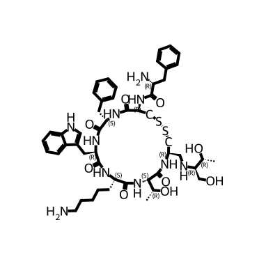 C[C@@H](O)[C@@H]1NC(=O)[C@H](CCCCCN)NC(=O)[C@@H](Cc2c[nH]c3ccccc23)NC(=O)[C@H](Cc2ccccc2)NC(=O)[C@@H](NC(=O)[C@H](N)Cc2ccccc2)CSSC[C@@H](CN[C@H](CO)[C@@H](C)O)NC1=O